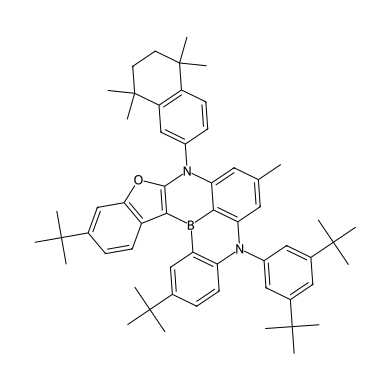 Cc1cc2c3c(c1)N(c1ccc4c(c1)C(C)(C)CCC4(C)C)c1oc4cc(C(C)(C)C)ccc4c1B3c1cc(C(C)(C)C)ccc1N2c1cc(C(C)(C)C)cc(C(C)(C)C)c1